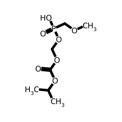 COCP(=O)(O)OCOC(=O)OC(C)C